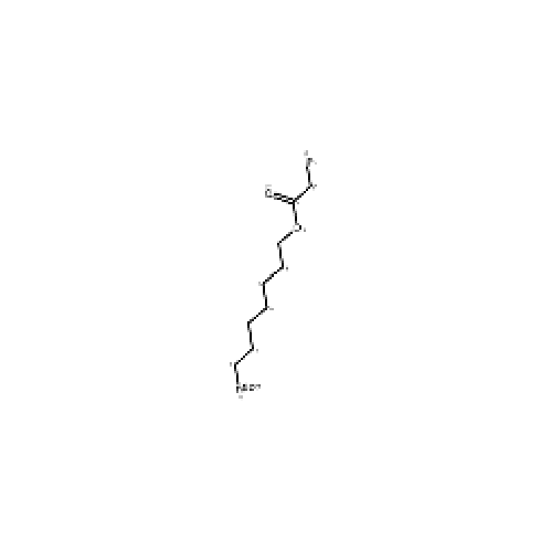 CCCCCCCCCCCCCCCCOC(=O)CC(C)C